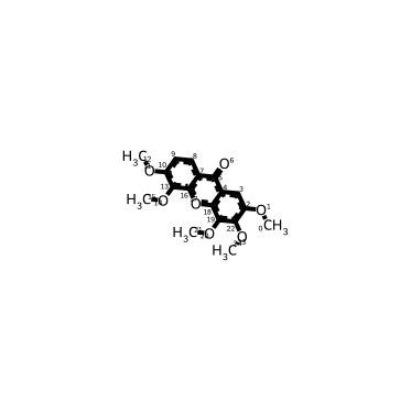 COc1cc2c(=O)c3ccc(OC)c(OC)c3oc2c(OC)c1OC